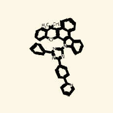 CC1(C)c2ccccc2Oc2c1c1ccccc1c1c3ccccc3n(-c3nc(-c4ccccc4)nc(-c4ccc(-c5ccccn5)cc4)n3)c21